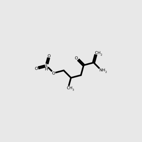 C=C(N)C(=O)CC(C)CO[SH](=O)=O